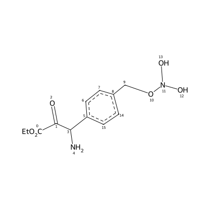 CCOC(=O)C(=O)C(N)c1ccc(CON(O)O)cc1